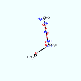 N[C@H](C=O)CCCCNC(=O)COCCOCCNC(=O)COCCOCCNC(=O)CC[C@H](NC(=O)CCCCCCCCCCCOc1ccc(C(=O)O)cc1)C(=O)O